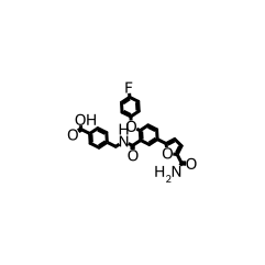 NC(=O)c1ccc(-c2ccc(Oc3ccc(F)cc3)c(C(=O)NCc3ccc(C(=O)O)cc3)c2)o1